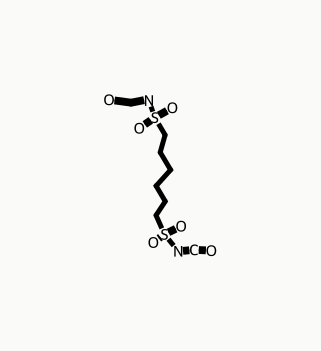 O=C=NS(=O)(=O)CCCCCCS(=O)(=O)N=C=O